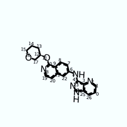 c1cnc2c(Nc3ccc4c(O[C@@H]5CCCOC5)nccc4c3)n[nH]c2c1